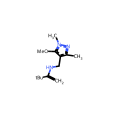 C=C(NCc1c(C)nn(C)c1OC)C(C)(C)C